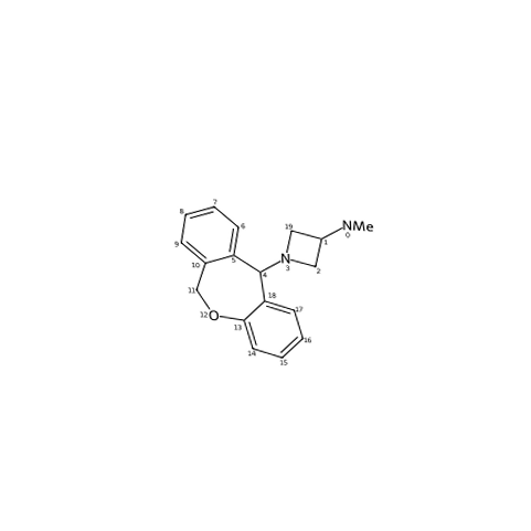 CNC1CN(C2c3ccccc3COc3ccccc32)C1